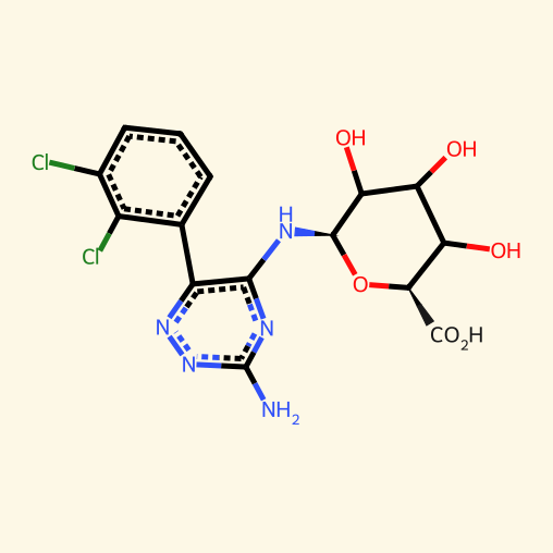 Nc1nnc(-c2cccc(Cl)c2Cl)c(N[C@@H]2O[C@H](C(=O)O)C(O)C(O)C2O)n1